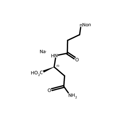 CCCCCCCCCCCC(=O)N[C@@H](CC(N)=O)C(=O)O.[Na]